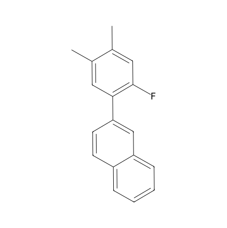 Cc1cc(F)c(-c2ccc3ccccc3c2)cc1C